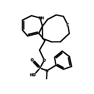 CN(c1ccccc1)P(=O)(O)OCCC1=CC=CCNC12CCCCCCCC2